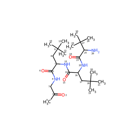 CC(=O)CNC(=O)C(CC(C)(C)C)NC(=O)C(CC(C)(C)C)NC(=O)C(N)C(C)(C)C